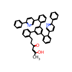 C/C(O)=C/C(=O)CCc1ccccc1-c1cc(-c2ccccc2-c2ccc(-c3ccccc3)nc2)cc(-c2ccccc2-c2ccc(-c3ccccc3)nc2)c1